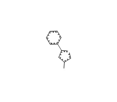 Clc1coc(-c2ccccc2)c1